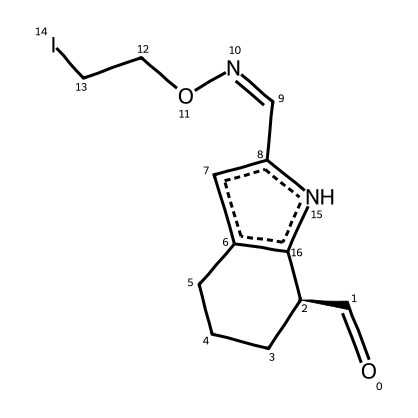 O=C[C@H]1CCCc2cc(/C=N\OCCI)[nH]c21